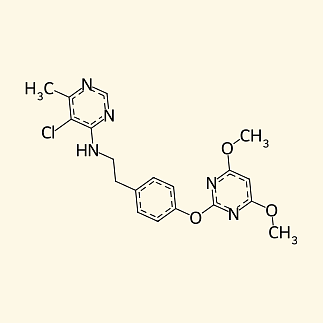 COc1cc(OC)nc(Oc2ccc(CCNc3ncnc(C)c3Cl)cc2)n1